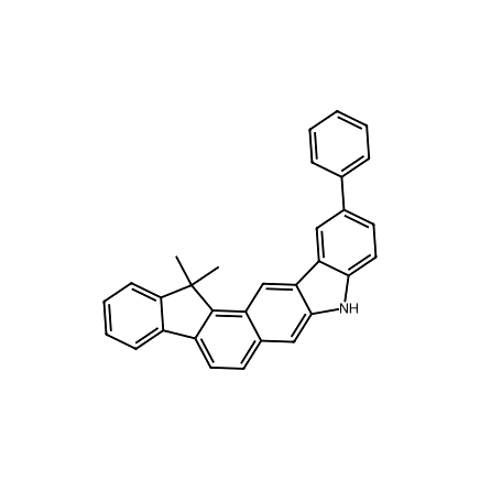 CC1(C)c2ccccc2-c2ccc3cc4[nH]c5ccc(-c6ccccc6)cc5c4cc3c21